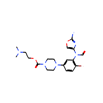 CN(C)CCOC(=O)N1CCN(c2ccc(Br)c(N(C=O)c3coc(N)n3)c2)CC1